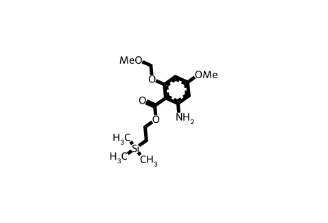 COCOc1cc(OC)cc(N)c1C(=O)OCC[Si](C)(C)C